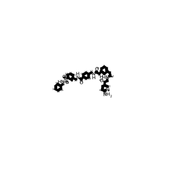 C[C@H](Cc1cccc(CC(=O)NCc2ccc(C(=O)NCc3cccc(S(=O)(=O)NCc4ccccc4)c3)cc2)c1)NC[C@@H](O)c1ccc(N)nc1